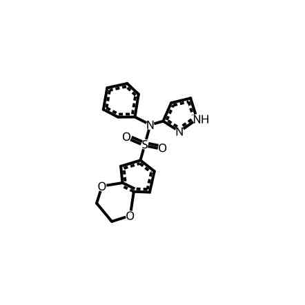 O=S(=O)(c1ccc2c(c1)OCCO2)N(c1ccccc1)c1cc[nH]n1